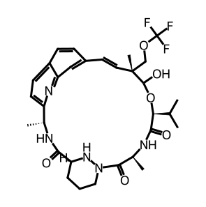 CC(C)[C@@H]1OC(O)[C@@](C)(COC(F)(F)F)/C=C/c2ccc3ccc(nc3c2)[C@@H](C)NC(=O)[C@@H]2CCCN(N2)C(=O)[C@H](C)NC1=O